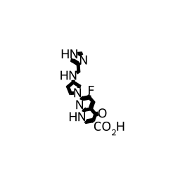 O=C(O)c1c[nH]c2nc(N3CCC(NCc4c[nH]cn4)C3)c(F)cc2c1=O